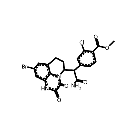 COC(=O)c1ccc(C(C(N)=O)C2CCc3cc(Br)cc4[nH]c(=O)c(=O)n2c34)cc1Cl